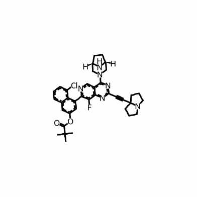 CC(C)(C)C(=O)Oc1cc(-c2ncc3c(N4C[C@H]5CC[C@@H](C4)N5)nc(C#CC45CCCN4CCC5)nc3c2F)c2c(Cl)cccc2c1